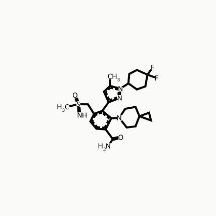 Cc1cc(-c2c(CS(C)(=N)=O)ccc(C(N)=O)c2N2CCC3(CC2)CC3)nn1C1CCC(F)(F)CC1